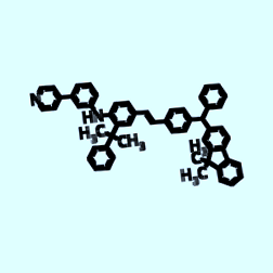 CC(C)(c1ccccc1)c1cc(/C=C/c2ccc(C(c3ccccc3)c3ccc4c(c3)C(C)(C)c3ccccc3-4)cc2)ccc1Nc1cccc(-c2ccncc2)c1